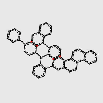 c1ccc(-c2ccc(N(c3ccccc3-c3ccc4c(ccc5c6ccccc6ccc45)c3)c3ccccc3-c3cccc4ccccc34)cc2)cc1